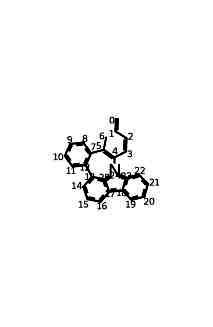 C=C/C=C\C1=C(C)c2ccccc2-c2cccc3c4ccccc4n1c23